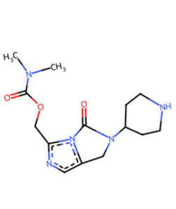 CN(C)C(=O)OCc1ncc2n1C(=O)N(C1CCNCC1)C2